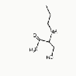 CCCNC(CO)C(N)=O